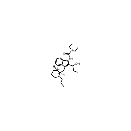 CCCN1CCC[C@@H]2c3cccc4c3c(c(C(O)CC)n4NC(=O)N(CC)CC)C[C@H]21